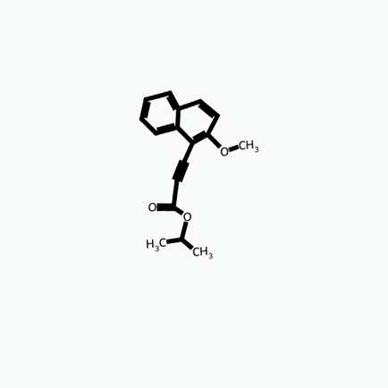 COc1ccc2ccccc2c1C#CC(=O)OC(C)C